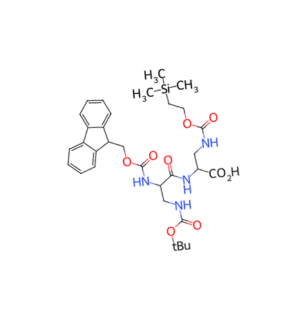 CC(C)(C)OC(=O)NCC(NC(=O)OCC1c2ccccc2-c2ccccc21)C(=O)NC(CNC(=O)OCC[Si](C)(C)C)C(=O)O